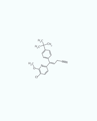 COc1nc(C(=CCC#N)c2ccc(C(C)(C)C)cc2)ccc1Cl